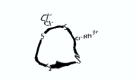 C1CSCCSCCCSCCSC1.[Cl-].[Cl-].[Cl-].[Rh+3]